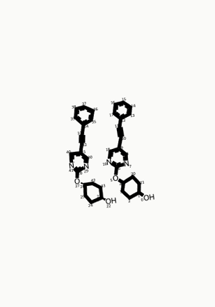 OC1CCC(Oc2ncc(C#Cc3ccccc3)cn2)CC1.O[C@H]1CC[C@H](Oc2ncc(C#Cc3ccccc3)cn2)CC1